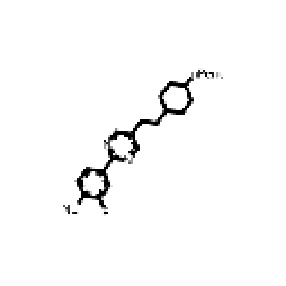 CCCCCC1CCC(CCc2cnc(-c3ccc(C#N)c(F)c3)nc2)CC1